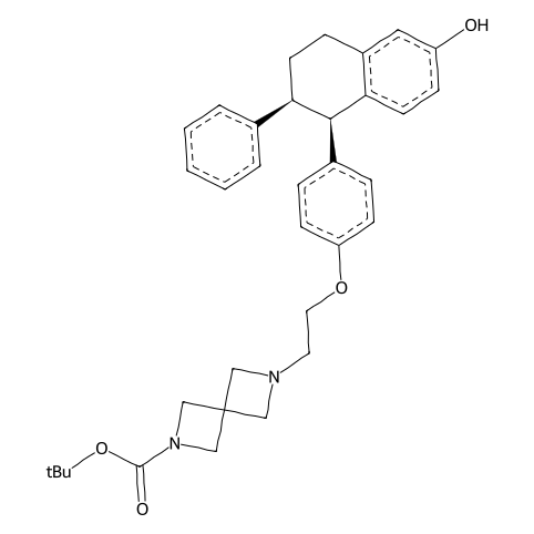 CC(C)(C)OC(=O)N1CC2(CN(CCOc3ccc([C@@H]4c5ccc(O)cc5CC[C@@H]4c4ccccc4)cc3)C2)C1